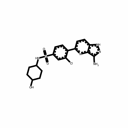 Nc1n[nH]c2ccc(-c3ccc(S(=O)(=O)NC4CCC(O)CC4)cc3Cl)nc12